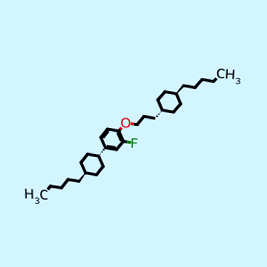 CCCCC[C@H]1CC[C@H](CCCOc2ccc([C@H]3CC[C@H](CCCCC)CC3)cc2F)CC1